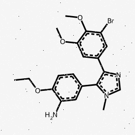 CCOc1ccc(-c2c(-c3cc(Br)c(OC)c(OC)c3)ncn2C)cc1N